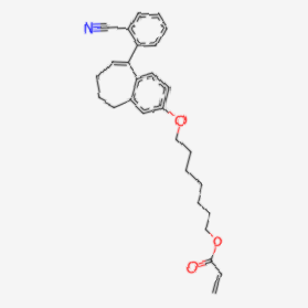 C=CC(=O)OCCCCCCCOc1ccc2c(c1)CCCC=C2c1ccccc1C#N